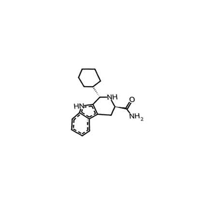 NC(=O)[C@H]1Cc2c([nH]c3ccccc23)[C@H](C2CCCCC2)N1